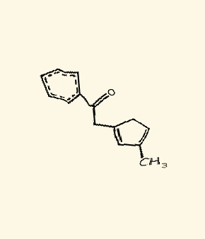 CC1=CCC(CC(=O)c2ccccc2)=C1